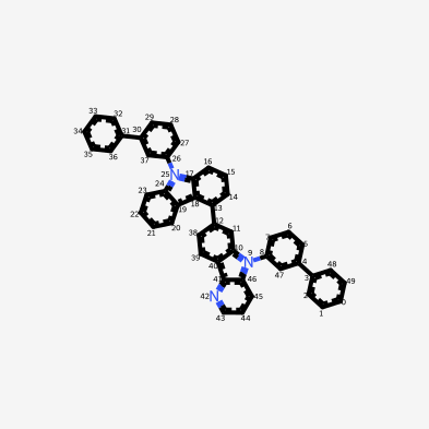 c1ccc(-c2cccc(-n3c4cc(-c5cccc6c5c5ccccc5n6-c5cccc(-c6ccccc6)c5)ccc4c4ncccc43)c2)cc1